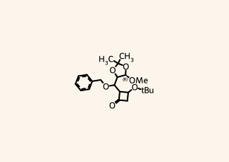 CO[C@@H]1OC(C)(C)OC1C(OCc1ccccc1)C1C(=O)CC1OC(C)(C)C